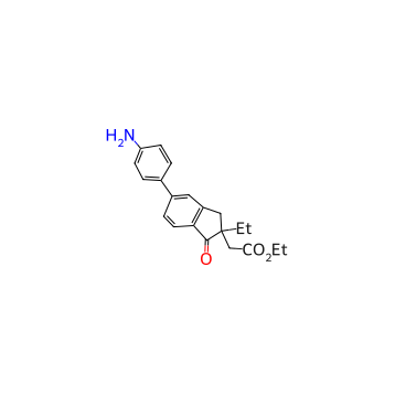 CCOC(=O)CC1(CC)Cc2cc(-c3ccc(N)cc3)ccc2C1=O